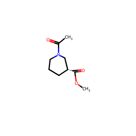 COC(=O)[C@@H]1CCCN(C(C)=O)C1